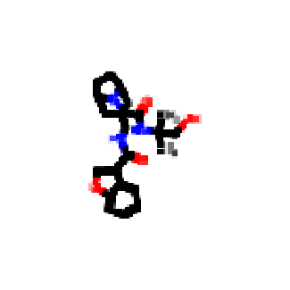 CC(C)(CO)NC(=O)CN1C2CCC1CC(CNC(=O)c1coc3ccccc13)C2